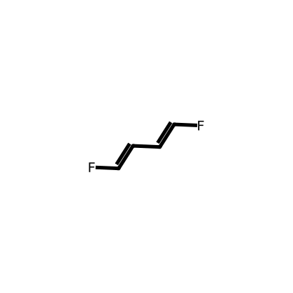 FC=CC=CF